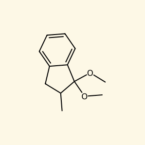 COC1(OC)c2ccccc2CC1C